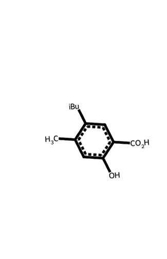 CCC(C)c1cc(C(=O)O)c(O)cc1C